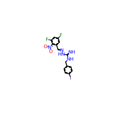 N=C(NCc1ccc(I)cc1)NN=Cc1cc(F)cc(F)c1[N+](=O)[O-]